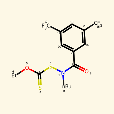 CCCCN(SC(=S)OCC)C(=O)c1cc(C(F)(F)F)cc(C(F)(F)F)c1